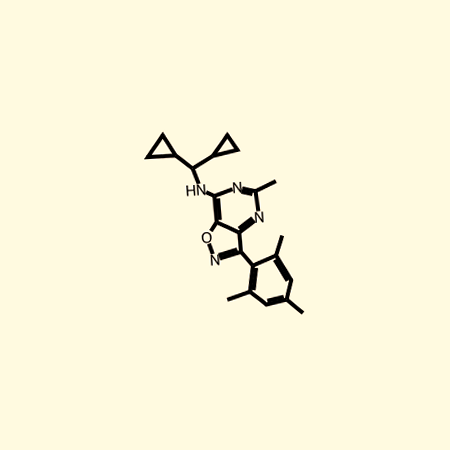 Cc1cc(C)c(-c2noc3c(NC(C4CC4)C4CC4)nc(C)nc23)c(C)c1